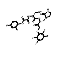 Cc1cc(F)ccc1NC(=O)C(=O)N[C@@H](CC(C)C)C(=O)N[C@@H](C[C@@H]1CCNC1=O)C(=O)COc1c(F)c(F)cc(F)c1F